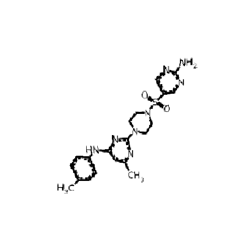 Cc1ccc(Nc2cc(C)nc(N3CCN(S(=O)(=O)c4cnc(N)nc4)CC3)n2)cc1